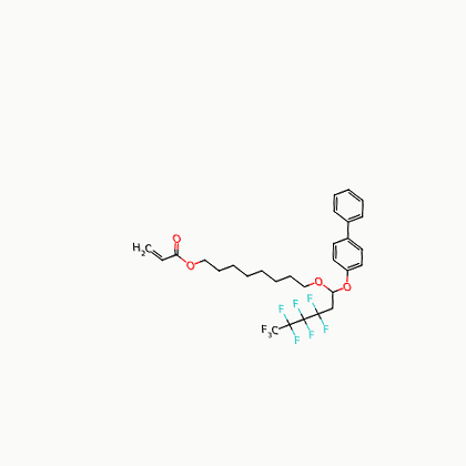 C=CC(=O)OCCCCCCCCOC(CC(F)(F)C(F)(F)C(F)(F)C(F)(F)F)Oc1ccc(-c2ccccc2)cc1